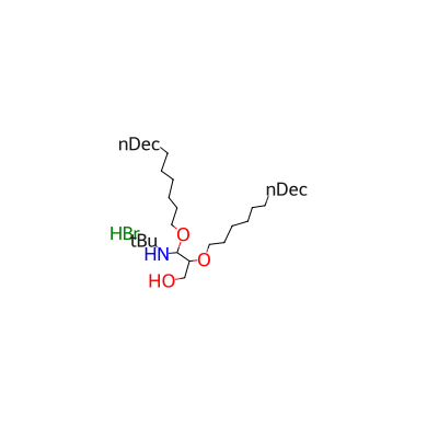 Br.CCCCCCCCCCCCCCCCOC(CO)C(NC(C)(C)C)OCCCCCCCCCCCCCCCC